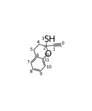 [C]#CC1(S)CCc2ccccc2O1